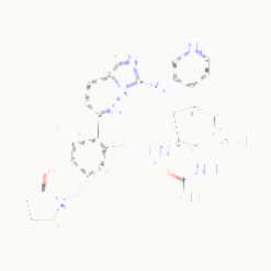 CC(=O)N[C@@H]1[C@H](N)C[C@H](c2ccncc2Nc2ncc3ccc(-c4c(F)cc(CN5CCCC5=O)cc4F)nn23)C[C@@H]1C